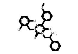 COc1cccc(-c2nn(Cc3c(Cl)cccc3Cl)c(=O)n(CC(N)c3ccccc3)c2=O)c1